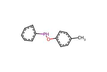 Cc1ccc(OPc2ccccc2)cc1